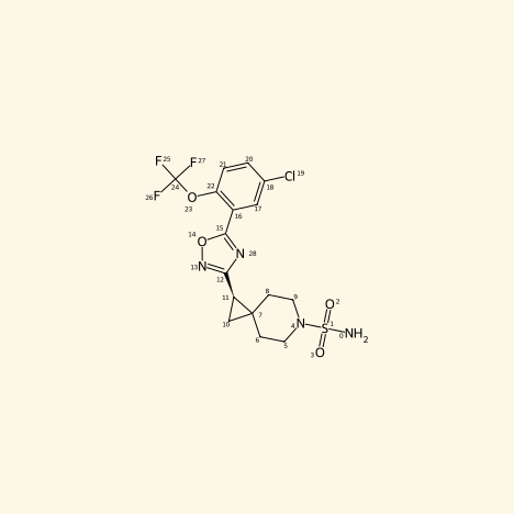 NS(=O)(=O)N1CCC2(CC1)C[C@H]2c1noc(-c2cc(Cl)ccc2OC(F)(F)F)n1